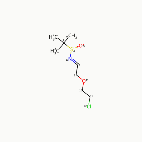 CC(C)(C)[S@@+]([O-])N=CCOCCCl